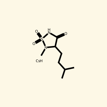 CC(C)CCC1C(=O)NS(=O)(=O)N1C.[CsH]